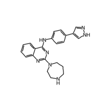 c1ccc2c(Nc3ccc(-c4cn[nH]c4)cc3)nc(N3CCCNCC3)nc2c1